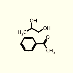 CC(=O)c1ccccc1.CC(O)CO